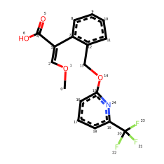 CO/C=C(/C(=O)O)c1ccccc1COc1cccc(C(F)(F)F)n1